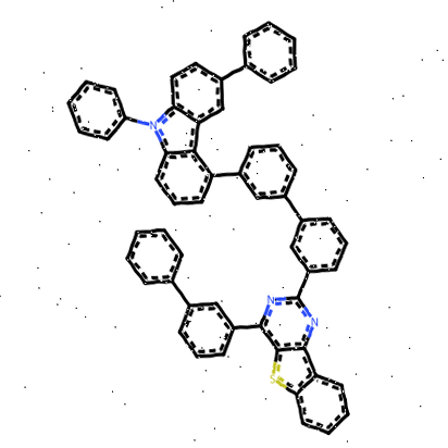 c1ccc(-c2cccc(-c3nc(-c4cccc(-c5cccc(-c6cccc7c6c6cc(-c8ccccc8)ccc6n7-c6ccccc6)c5)c4)nc4c3sc3ccccc34)c2)cc1